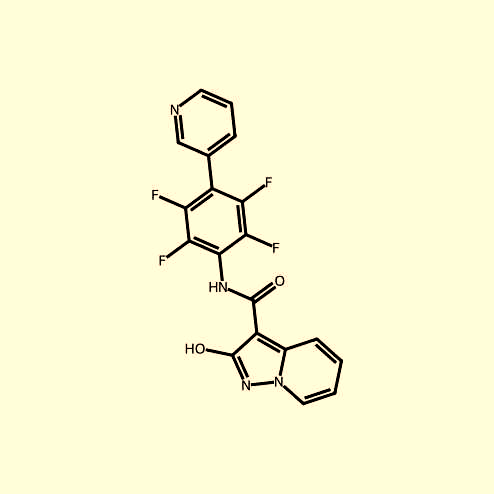 O=C(Nc1c(F)c(F)c(-c2cccnc2)c(F)c1F)c1c(O)nn2ccccc12